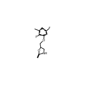 C=C1NCC(COc2cc(F)cc(C)c2F)O1